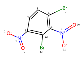 O=[N+]([O-])c1ccc(Br)c([N+](=O)[O-])c1Br